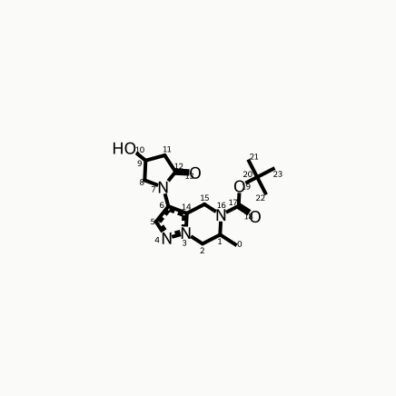 CC1Cn2ncc(N3CC(O)CC3=O)c2CN1C(=O)OC(C)(C)C